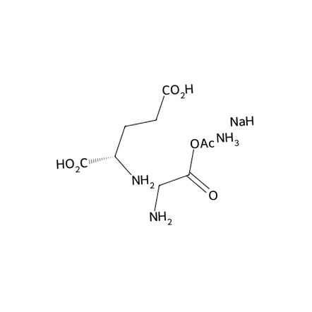 CC(=O)OC(=O)CN.N.N[C@@H](CCC(=O)O)C(=O)O.[NaH]